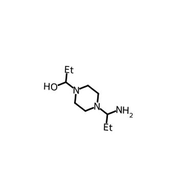 CCC(N)N1CCN(C(O)CC)CC1